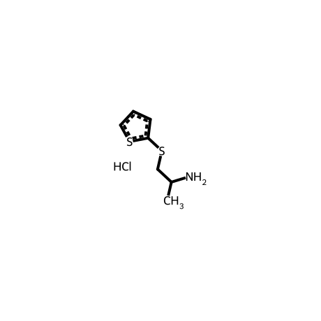 CC(N)CSc1cccs1.Cl